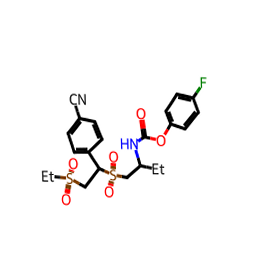 CCC(CS(=O)(=O)C(CS(=O)(=O)CC)c1ccc(C#N)cc1)NC(=O)Oc1ccc(F)cc1